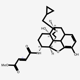 COC(=O)/C=C/C(=O)N[C@@H]1CC[C@@]2(O)[C@H]3CC4C=CC(O)=C5O[C@@H]1[C@]2(CCN3CC1CC1)C54